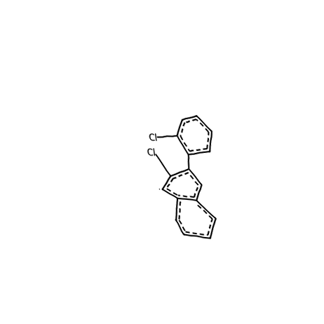 Clc1[c]c2ccccc2cc1-c1ccccc1Cl